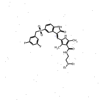 CCN(CC)CCNC(=O)c1c(C)[nH]c(/C=C2\C(=O)Nc3ccc(S(=O)(=O)Cc4cc(F)cc(F)c4)cc32)c1C